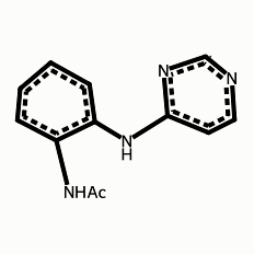 CC(=O)Nc1ccccc1Nc1ccn[c]n1